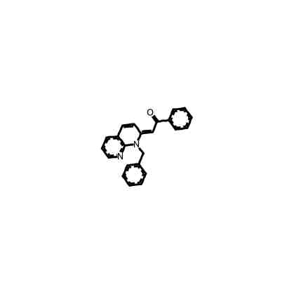 O=C(/C=C1\C=Cc2cccnc2N1Cc1ccccc1)c1ccccc1